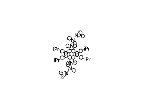 CC(C)c1ccc(Oc2cc3c4c(cc(Oc5ccc(C(C)C)cc5)c5c6c(Oc7ccc(C(C)C)cc7)cc7c8c(cc(Oc9ccc(C(C)C)cc9)c(c2c45)c86)C(=O)N(CC(=O)N(CCN(CC2CO2)CC2CO2)c2ccccc2)C7=O)C(=O)N(CC(=O)N(CCN(CC2CO2)CC2CO2)c2ccccc2)C3=O)cc1